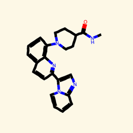 CNC(=O)C1CCN(c2cccc3ccc(-c4cnc5ccccn45)nc23)CC1